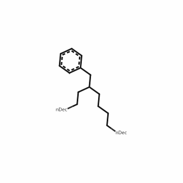 CCCCCCCCCCCCCCC(CCCCCCCCCCCC)Cc1[c]cccc1